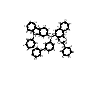 c1ccc(-c2cccc(N(c3ccc4c5ccccc5n(-c5ccccc5)c4c3)c3cc4ccccc4c4nc(-c5ccccc5)oc34)c2)cc1